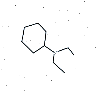 CC[S+](CC)C1CCCCC1